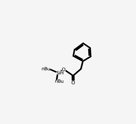 CCCC[SiH](CCCC)OC(=O)Cc1ccccc1